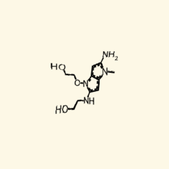 Cn1c(N)cc2c1cc(NCCO)n2OCCO